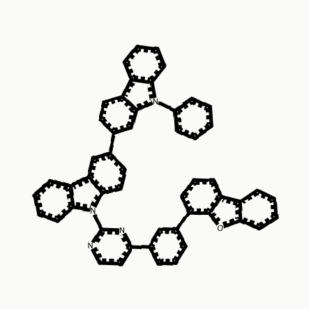 c1ccc(-n2c3ccccc3c3ccc(-c4ccc5c(c4)c4ccccc4n5-c4nccc(-c5cccc(-c6cccc7c6oc6ccccc67)c5)n4)cc32)cc1